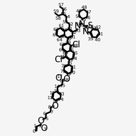 C=CC(=O)OCCCCOc1ccc(CCC(=O)Oc2ccc(-c3ccc4c(Cl)c(-c5cc(/C=N/N(c6nc7ccccc7s6)C6CCCCC6)c(CCCC(CC)CC)c6ccccc56)ccc4c3Cl)cc2)cc1